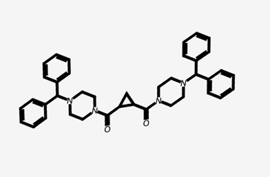 O=C(C1CC1C(=O)N1CCN(C(c2ccccc2)c2ccccc2)CC1)N1CCN(C(c2ccccc2)c2ccccc2)CC1